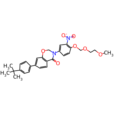 COCCOCOc1ccc(N2COc3cc(-c4ccc(C(C)(C)C)cc4)ccc3C2=O)cc1[N+](=O)[O-]